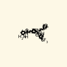 Nc1ccccc1NC(=O)C=Cc1ccc(C(NCCCN2CCOCC2)C(=O)Nc2ccc(C(F)(F)F)cn2)cc1